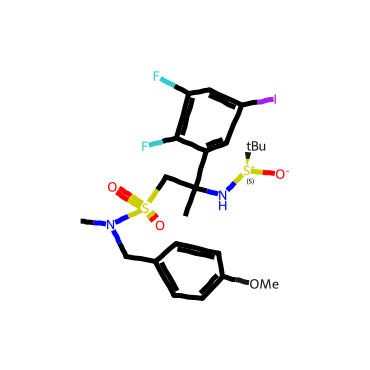 COc1ccc(CN(C)S(=O)(=O)CC(C)(N[S@+]([O-])C(C)(C)C)c2cc(I)cc(F)c2F)cc1